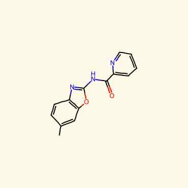 Cc1ccc2nc(NC(=O)c3ccccn3)oc2c1